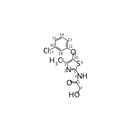 Cc1nc(NC(=O)CO)sc1Oc1cccc(Cl)c1